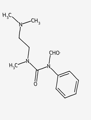 CN(C)CCN(C)C(=O)N([C]=O)c1ccccc1